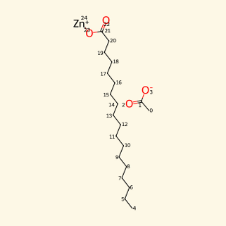 CC(=O)[O-].CCCCCCCCCCCCCCCCCC(=O)[O][Zn+]